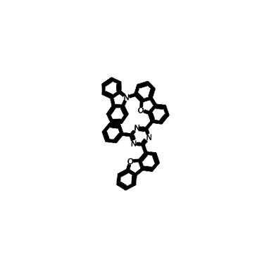 c1ccc(-c2nc(-c3cccc4c3oc3ccccc34)nc(-c3cccc4c3oc3c(-n5c6ccccc6c6ccccc65)cccc34)n2)cc1